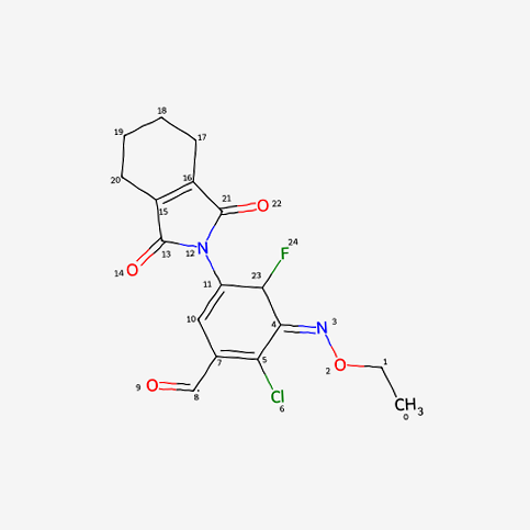 CCON=C1C(Cl)=C([C]=O)C=C(N2C(=O)C3=C(CCCC3)C2=O)C1F